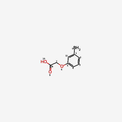 Bc1cccc(OCC(=O)O)c1